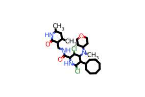 CC1CC(C)C(CNC(=O)C2NC(Cl)C(C3CCCCCCC3)C(N(C)C3CCOCC3)C2Cl)C(=O)N1